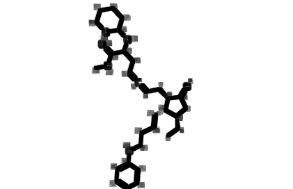 CC[C@@H]1CC(=O)[C@H](CC=C=CCC(OC2CCCCO2)C(=O)OC)[C@H]1/C=C/CCOc1ccccc1